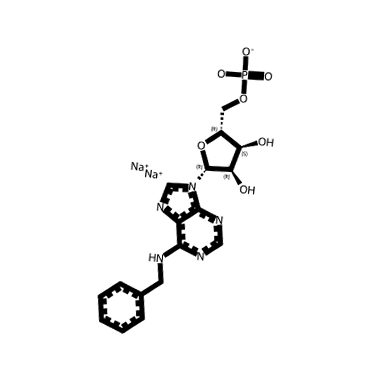 O=P([O-])([O-])OC[C@H]1O[C@@H](n2cnc3c(NCc4ccccc4)ncnc32)[C@H](O)[C@@H]1O.[Na+].[Na+]